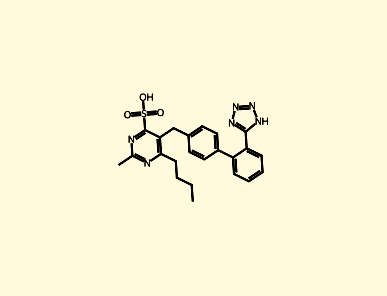 CCCCc1nc(C)nc(S(=O)(=O)O)c1Cc1ccc(-c2ccccc2-c2nnn[nH]2)cc1